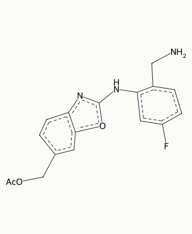 CC(=O)OCc1ccc2nc(Nc3cc(F)ccc3CN)oc2c1